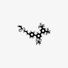 C=CC(=O)OCCCc1ccc(-c2cc(OC(F)(F)F)cc(-c3cc(C(F)(F)F)cc(C(F)(F)F)c3)c2)cc1